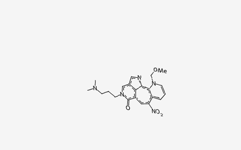 COCN1C=CC=c2c([N+](=O)[O-])cc3c4c(cnc-4c21)cn(CCCN(C)C)c3=O